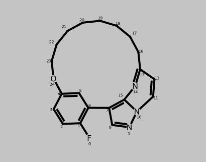 Fc1ccc2cc1-c1cnn3ccc(nc13)CCCCCCCCO2